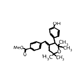 COC(=O)c1ccc(C=C2CC(C)(C)OC(C)(C)C2c2ccc(O)cc2)cc1